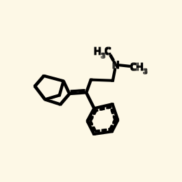 CN(C)CC/C(=C1/CC2CCC1C2)c1ccccc1